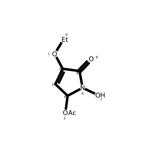 CCOC1=CC(OC(C)=O)N(O)C1=O